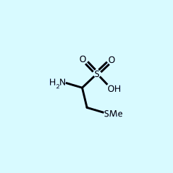 CSCC(N)S(=O)(=O)O